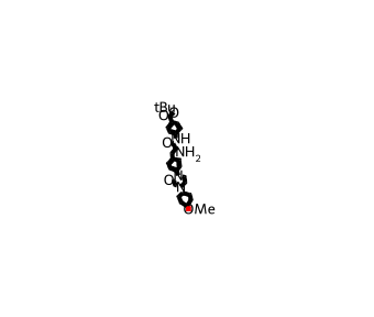 COC1CCC(N2CCN(c3ccc(C[C@H](N)C(=O)Nc4ccc(C(=O)OC(C)(C)C)cc4)cc3)C(=O)C2)CC1